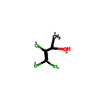 CC(O)C(Cl)=C(Cl)Cl